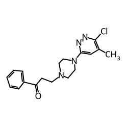 Cc1cc(N2CCN(CCC(=O)c3ccccc3)CC2)nnc1Cl